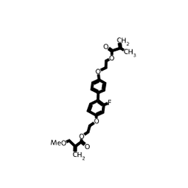 C=C(C)C(=O)OCCOc1ccc(-c2ccc(OCCOC(=O)C(=C)COC)cc2F)cc1